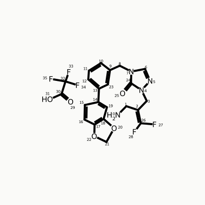 NCC(Cn1ncn(Cc2cccc(-c3ccc4c(c3)OCO4)c2)c1=O)=C(F)F.O=C(O)C(F)(F)F